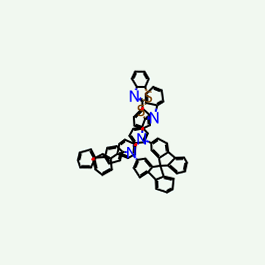 C1=CC2N=C(c3ccc(N(c4ccc(-c5ccccc5)cc4)c4ccc5c(c4)C4(c6ccccc6-5)c5ccccc5-c5ccc(N(c6ccc(-c7ccccc7)cc6)c6ccc(-c7nc8ccccc8s7)cc6)cc54)cc3)SC2C=C1